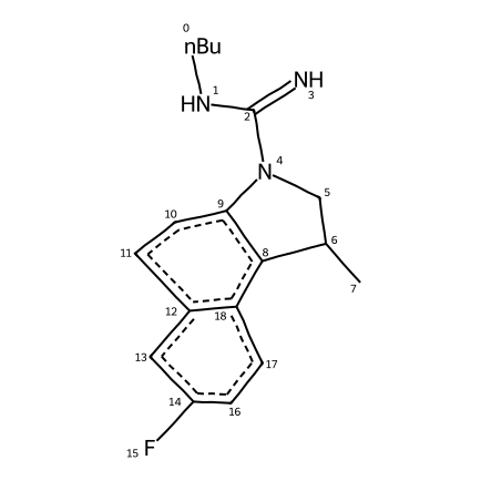 CCCCNC(=N)N1CC(C)c2c1ccc1cc(F)ccc21